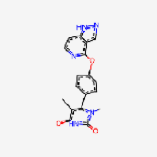 Cc1c(-c2ccc(Oc3nccc4[nH]ncc34)cc2)n(C)c(=O)[nH]c1=O